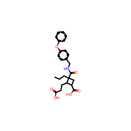 CCCC1(C(=O)NCc2ccc(Oc3ccccc3)cc2)CC(C(=O)O)C1CCC(=O)O